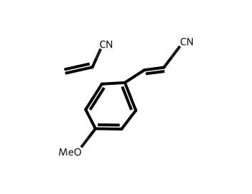 C=CC#N.COc1ccc(C=CC#N)cc1